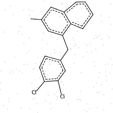 Cc1cc(Cc2ccc(Cl)c(Cl)c2)c2ccccc2c1